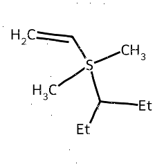 C=CS(C)(C)C(CC)CC